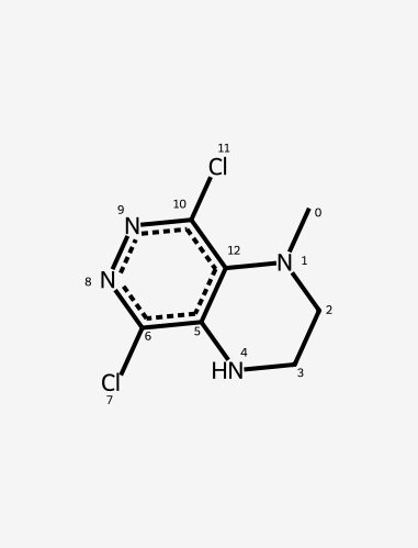 CN1CCNc2c(Cl)nnc(Cl)c21